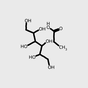 CCC(=O)O.OCC(O)C(O)C(O)C(O)CO